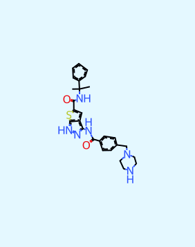 CC(C)(NC(=O)c1cc2c(NC(=O)c3ccc(CN4CCNCC4)cc3)n[nH]c2s1)c1ccccc1